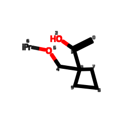 C=C(O)C1(COC(C)C)CCC1